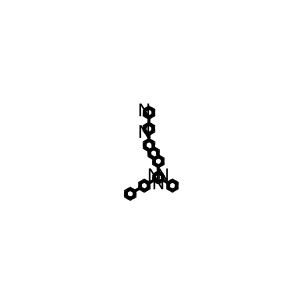 c1ccc(-c2ccc(-c3nc(-c4ccccc4)nc(-c4ccc5cc6cc(-c7ccc(-c8cccnc8)cn7)ccc6cc5c4)n3)cc2)cc1